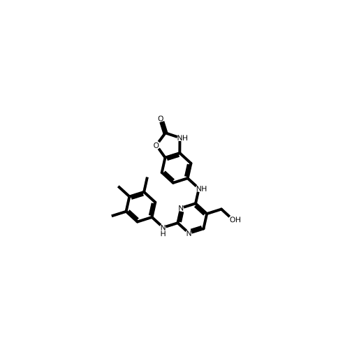 Cc1cc(Nc2ncc(CO)c(Nc3ccc4oc(=O)[nH]c4c3)n2)cc(C)c1C